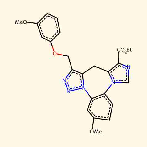 CCOC(=O)c1ncn2c1Cc1c(COc3cccc(OC)c3)nnn1-c1cc(OC)ccc1-2